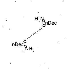 CCCCCCCCCCC(c1ccc(CCCCCCCCCCCCCCCCCCc2ccc(C(CCCCCCCCCC)c3ccc(N)cc3C)cc2)cc1)c1ccc(N)cc1C